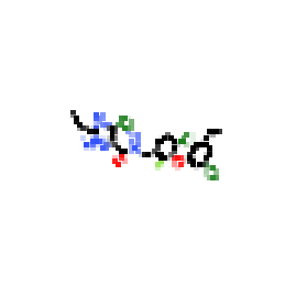 C=Cc1cc(Cl)cc(Oc2c(Cl)ccc(CNC(=O)c3[nH]c(CC)nc3Cl)c2F)c1